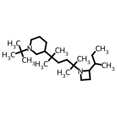 CCC(C)C1CCN1C(C)(C)CCC(C)(C)C1CCCN(C(C)(C)C)C1